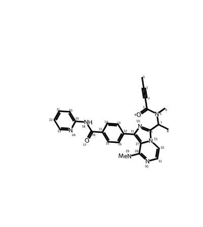 CC#CC(=O)N(C)C(C)c1nc(-c2ccc(C(=O)Nc3ccccn3)cc2)c2c(NC)nccn12